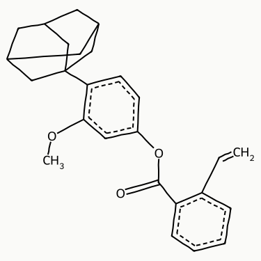 C=Cc1ccccc1C(=O)Oc1ccc(C23CC4CC(CC(C4)C2)C3)c(OC)c1